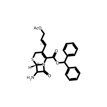 CC(=O)OC/C=C/C1=C(C(=O)OC(c2ccccc2)c2ccccc2)N2C(=O)C(N)[C@@H]2SC1